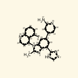 Cc1nc2c(-c3nnc[nH]3)cc(-c3ccnc(N)c3)cc2n1-c1ccnc2cccc(F)c12